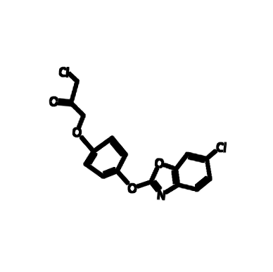 O=C(CCl)COc1ccc(Oc2nc3ccc(Cl)cc3o2)cc1